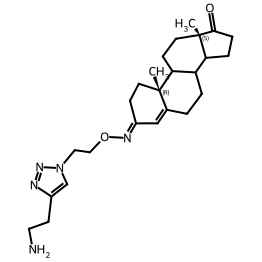 C[C@]12CCC(=NOCCn3cc(CCN)nn3)C=C1CCC1C2CC[C@]2(C)C(=O)CCC12